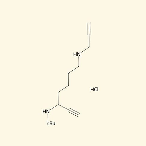 C#CCNCCCCC(C#C)NCCCC.Cl